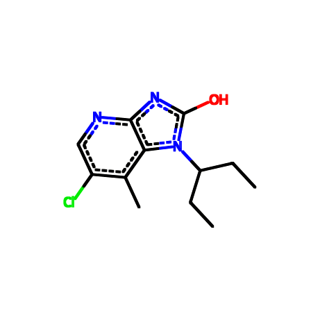 CCC(CC)n1c(O)nc2ncc(Cl)c(C)c21